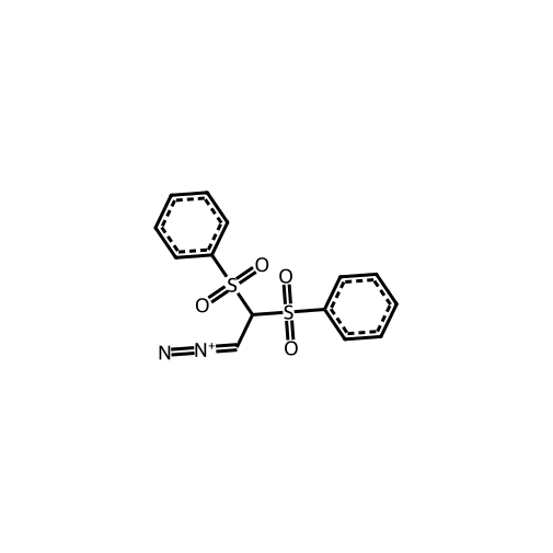 [N-]=[N+]=CC(S(=O)(=O)c1ccccc1)S(=O)(=O)c1ccccc1